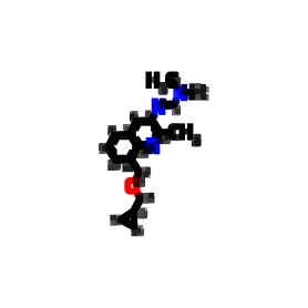 CCN(C)C=Nc1cc2cccc(COCC3CC3)c2nc1C